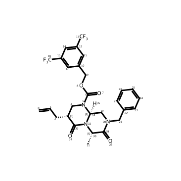 C=CC[C@@H]1CN(C(=O)OCc2cc(C(F)(F)F)cc(C(F)(F)F)c2)[C@H]2CN(Cc3ccccc3)C(=O)[C@H](C)N2C1=O